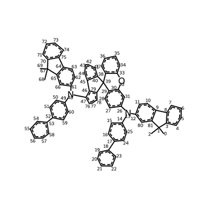 CC1(C)c2ccccc2-c2ccc(N(c3ccc(-c4ccccc4)cc3)c3ccc4c(c3)Oc3ccccc3C43c4ccccc4-c4c(N(c5ccc(-c6ccccc6)cc5)c5ccc6c(c5)C(C)(C)c5ccccc5-6)cccc43)cc21